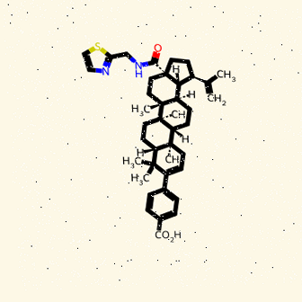 C=C(C)[C@@H]1CC[C@]2(C(=O)NCc3nccs3)CC[C@]3(C)[C@H](CC[C@@H]4[C@@]5(C)CC=C(c6ccc(C(=O)O)cc6)C(C)(C)[C@@H]5CC[C@]43C)[C@@H]12